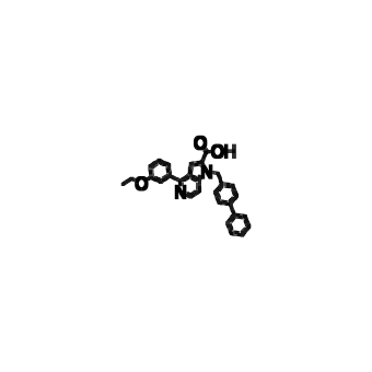 CCOc1cccc(-c2nccc3c2cc(C(=O)O)n3Cc2ccc(-c3ccccc3)cc2)c1